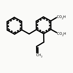 C=CCc1c(Cc2ccccc2)ccc(C(=O)O)c1C(=O)O